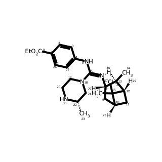 CCOC(=O)c1ccc(N/C(=N/[C@H]2C[C@H]3C[C@@H]([C@@H]2C)C3(C)C)N2CCN[C@@H](C)C2)cc1